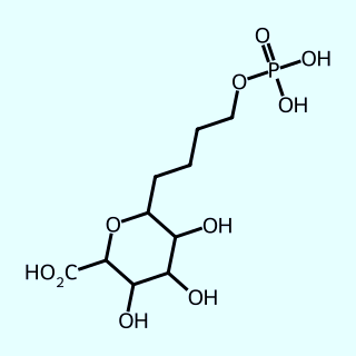 O=C(O)C1OC(CCCCOP(=O)(O)O)C(O)C(O)C1O